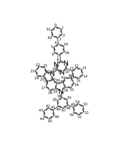 c1ccc(-c2ccc(-c3nc(-c4ccccc4)nc(-n4c5ccccc5c5ccc6c(c7ccccc7n6-c6cc(-c7ccccc7)cc(-c7ccccc7)c6)c54)n3)cc2)cc1